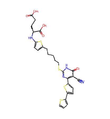 N#Cc1c(-c2ccc(-c3cccs3)s2)nc(SCCCCCc2ccc(N[C@@H](CCC(=O)O)C(=O)O)s2)[nH]c1=O